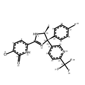 C[C@@H]1NC(c2ccc(Cl)c(=O)[nH]2)=N[C@@]1(c1ccc(F)cc1)c1ccc(C(F)(F)F)nc1